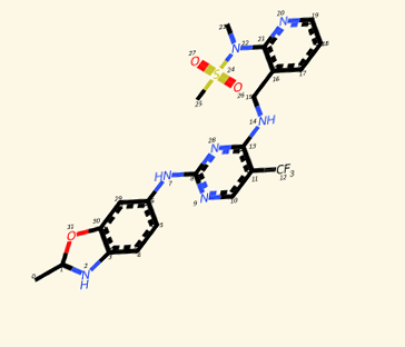 CC1Nc2ccc(Nc3ncc(C(F)(F)F)c(NCc4cccnc4N(C)S(C)(=O)=O)n3)cc2O1